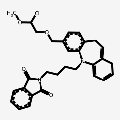 COC(Cl)COCc1ccc2c(c1)N(CCCCN1C(=O)c3ccccc3C1=O)C1=CC=CCC1=CC2